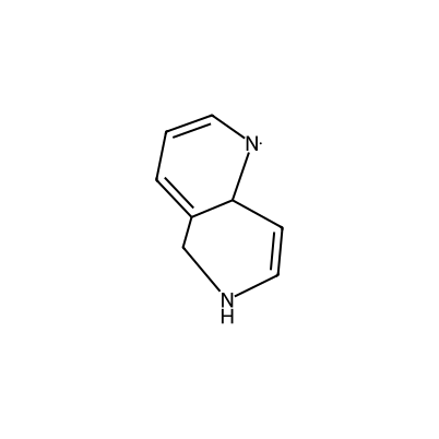 C1=C[N]C2C=CNCC2=C1